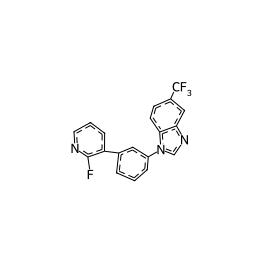 Fc1ncccc1-c1cccc(-n2cnc3cc(C(F)(F)F)ccc32)c1